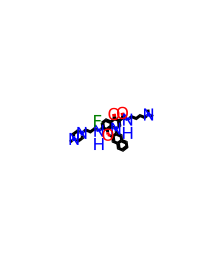 CN(C)CCCCNC(=O)c1cn2c3c(c(NCCCN4CCN(C)CC4)c(F)cc3c1=O)Oc1cc3ccccc3cc1-2